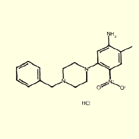 Cc1cc([N+](=O)[O-])c(N2CCN(Cc3ccccc3)CC2)cc1N.Cl